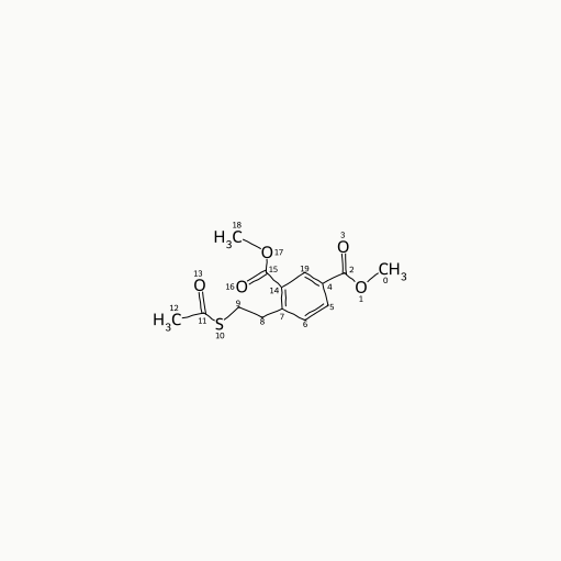 COC(=O)c1ccc(CCSC(C)=O)c(C(=O)OC)c1